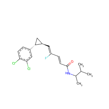 CC(C)C(C)NC(=O)C=CC(F)=C[C@@H]1C[C@H]1c1ccc(Cl)c(Cl)c1